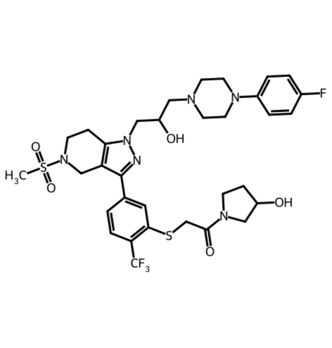 CS(=O)(=O)N1CCc2c(c(-c3ccc(C(F)(F)F)c(SCC(=O)N4CCC(O)C4)c3)nn2CC(O)CN2CCN(c3ccc(F)cc3)CC2)C1